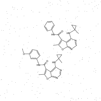 COc1cccc(NC(=O)c2c(C)oc3ncnc(NC4(C)CC4)c23)c1.Cc1oc2ncnc(NC3(C)CC3)c2c1C(=O)Nc1ccccc1